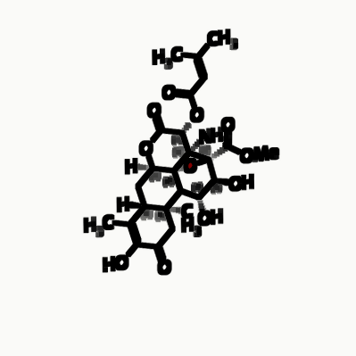 COC(=O)[C@@]12OC[C@]34C([C@@H](O)[C@@H]1O)[C@@]1(C)CC(=O)C(O)=C(C)[C@@H]1C[C@H]3OC(=O)[C@H](OC(=O)C=C(C)C)[C@@]24N